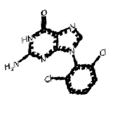 Nc1nc2c(ncn2-c2c(Cl)cccc2Cl)c(=O)[nH]1